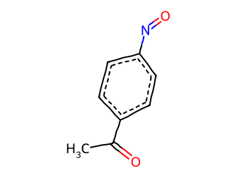 CC(=O)c1ccc(N=O)cc1